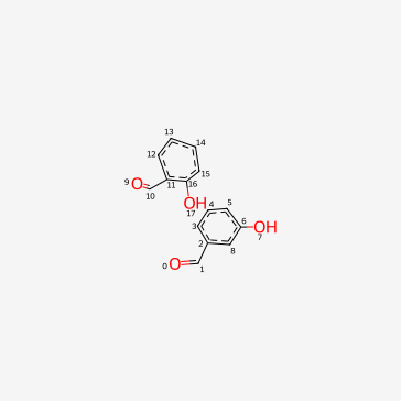 O=Cc1cccc(O)c1.O=Cc1ccccc1O